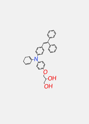 OCC(O)COc1ccc(N(C2=CCCC=C2)c2ccc(C=C(c3ccccc3)c3ccccc3)cc2)cc1